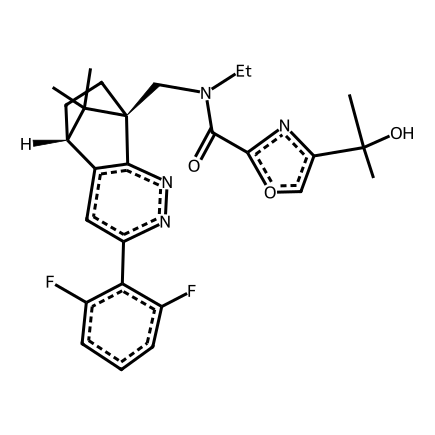 CCN(C[C@@]12CC[C@@H](c3cc(-c4c(F)cccc4F)nnc31)C2(C)C)C(=O)c1nc(C(C)(C)O)co1